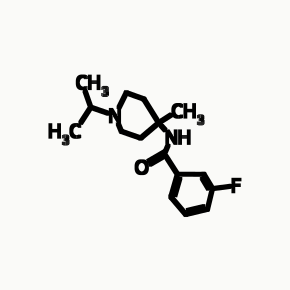 CC(C)N1CCC(C)(NC(=O)c2cccc(F)c2)CC1